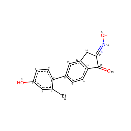 CCc1cc(O)ccc1-c1ccc2c(c1)C/C(=N\O)C2=O